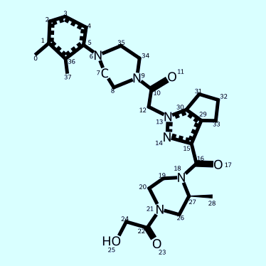 Cc1cccc(N2CCN(C(=O)Cn3nc(C(=O)N4CCN(C(=O)CO)C[C@@H]4C)c4c3CCC4)CC2)c1C